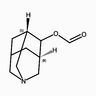 O=COC1[C@@H]2CC3C[C@H]1CN(C3)C2